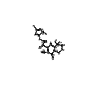 Cc1cc(CNC(=O)c2nc3n(c(=O)c2O)CCOC3(C)C)n(C)n1